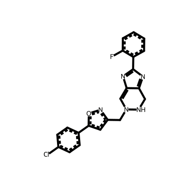 Fc1ccccc1C1=NC2=CN(Cc3cc(-c4ccc(Cl)cc4)on3)NCC2=N1